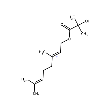 CC(C)=CCC/C(C)=C/COC(=O)C(C)(C)O